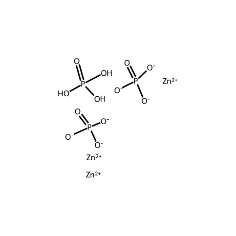 O=P(O)(O)O.O=P([O-])([O-])[O-].O=P([O-])([O-])[O-].[Zn+2].[Zn+2].[Zn+2]